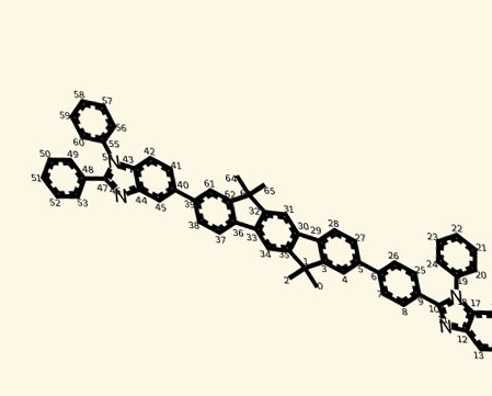 CC1(C)c2cc(-c3ccc(-c4nc5ccccc5n4-c4ccccc4)cc3)ccc2-c2cc3c(cc21)-c1ccc(-c2ccc4c(c2)nc(-c2ccccc2)n4-c2ccccc2)cc1C3(C)C